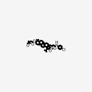 CN/C(=C\C(=O)Nc1ccc(Cl)cc1)CC12CC[C@]3(C)C(CCC4C5(C)CCC(OC(=O)CC(C)(C)C=O)C(C)(C)C5CCC43C)C1=C(C(C)C)C(=O)C2